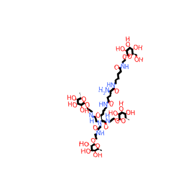 C[C@@H]1O[C@@H](OCCNC(=O)CN(CC(=O)NCCO[C@@H]2O[C@@H](C)[C@@H](O)[C@@H](O)[C@@H]2O)[C@@H](CCCCNC(=O)CC[C@H](N)C(=O)NCCCCCC(=O)NCCO[C@H]2O[C@H](CO)[C@@H](O)[C@H](O)[C@@H]2O)C(=O)NCCO[C@@H]2O[C@@H](C)[C@@H](O)[C@@H](O)[C@@H]2O)[C@@H](O)[C@H](O)[C@@H]1O